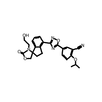 CC(C)Oc1ccc(-c2nc(-c3cccc4c3CCC43COC(=O)N3CCO)no2)cc1C#N